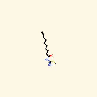 C=CCCCCCCCC(=O)NC(=N)SC